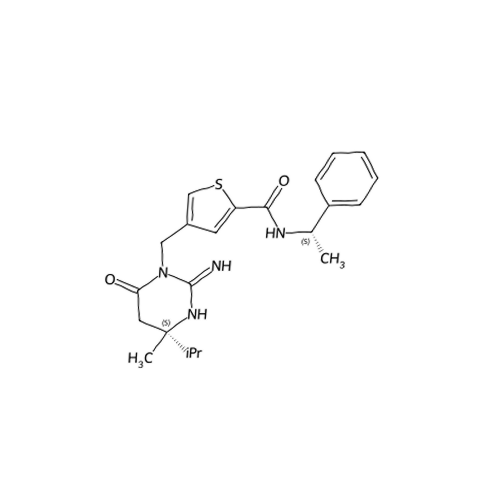 CC(C)[C@]1(C)CC(=O)N(Cc2csc(C(=O)N[C@@H](C)c3ccccc3)c2)C(=N)N1